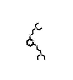 CCN(CC)CCOc1cccc(OCCN(CC)CC)n1